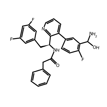 NC(O)c1cc(-c2cccnc2[C@H](Cc2cc(F)cc(F)c2)NC(=O)Cc2ccccc2)ccc1F